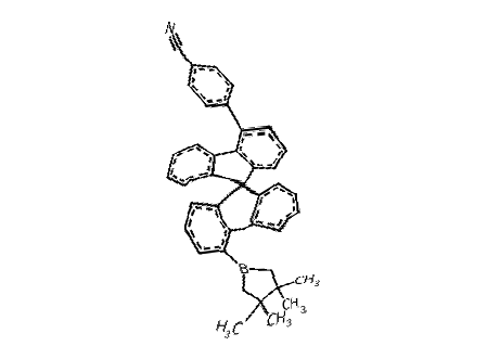 CC1(C)CB(c2cccc3c2-c2ccccc2C32c3ccccc3-c3c(-c4ccc(C#N)cc4)cccc32)CC1(C)C